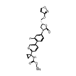 CC(C)(C)OC(=O)NC1(c2ccc(-c3ccc(N4C[C@H](COc5ccon5)OC4=O)cc3F)cn2)CC1